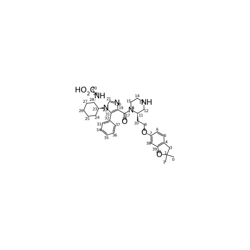 CC1(C)Cc2ccc(OCC[C@@H]3CNCCN3C(=O)c3ncn([C@H]4CCCC[C@@H]4NC(=O)O)c3-c3ccccc3)cc2O1